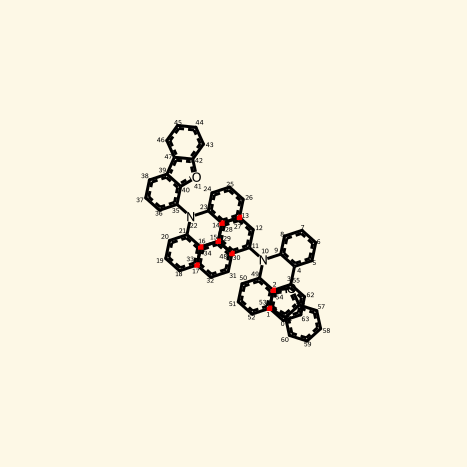 c1ccc(-c2ccccc2N(c2cccc(-c3ccccc3N(c3ccccc3-c3ccccc3)c3cccc4c3oc3ccccc34)c2)c2cccc3c2oc2ccccc23)cc1